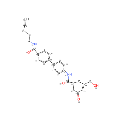 C#CCCCNC(=O)c1ccc(-c2ccc(NC(=O)C3CC(=O)C=C(CO)C3)cc2)cc1